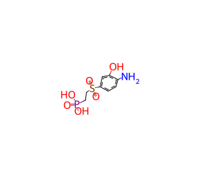 Nc1ccc(S(=O)(=O)CCP(=O)(O)O)cc1O